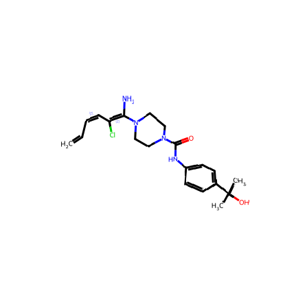 C=C/C=C\C(Cl)=C(/N)N1CCN(C(=O)Nc2ccc(C(C)(C)O)cc2)CC1